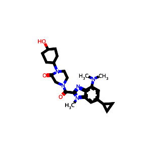 CN(C)c1cc(C2CC2)cc2c1nc(C(=O)N1CCN(C3CCC(O)CC3)C(=O)C1)n2C